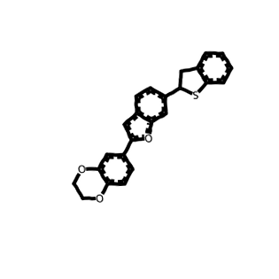 c1ccc2c(c1)CC(c1ccc3cc(-c4ccc5c(c4)OCCO5)oc3c1)S2